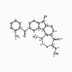 CCn1c2ccc(C(=O)c3ccccc3C)cc2c2c3c(ccc21)C(=O)/C(=N/OC(C)=O)CCN3C